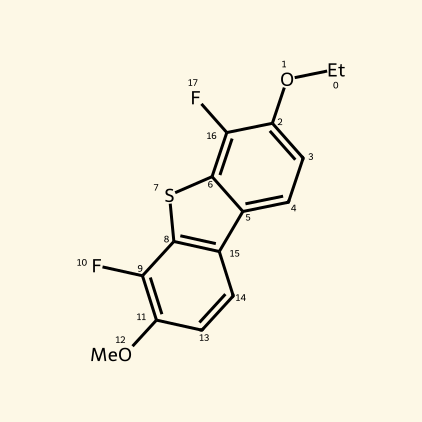 CCOc1ccc2c(sc3c(F)c(OC)ccc32)c1F